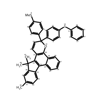 CSc1ccc(C2(c3ccc(Sc4ccccc4)cc3)C=Cc3c4c(c5ccccc5c3O2)-c2ccc(C)cc2C4(C)C)cc1